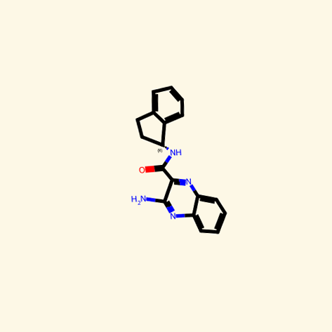 Nc1nc2ccccc2nc1C(=O)N[C@@H]1CCc2ccccc21